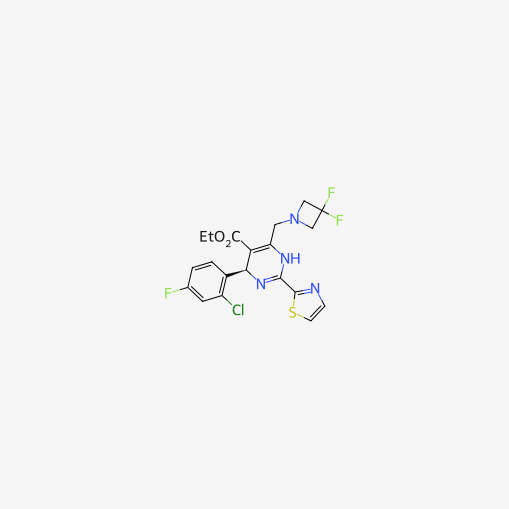 CCOC(=O)C1=C(CN2CC(F)(F)C2)NC(c2nccs2)=N[C@H]1c1ccc(F)cc1Cl